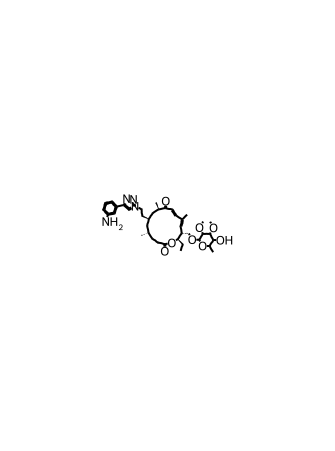 CC[C@H]1OC(=O)CC[C@H](C)C[C@@H](CCn2cc(-c3cccc(N)c3)nn2)C[C@@H](C)C(=O)/C=C/C(C)=C/[C@@H]1COC1OC(C)C(O)C(OC)C1OC